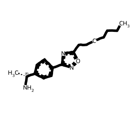 CCCCCCCc1nc(-c2ccc([C@@H](C)N)cc2)no1